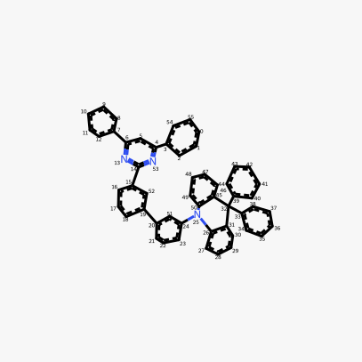 c1ccc(-c2cc(-c3ccccc3)nc(-c3cccc(-c4cccc(N5c6ccccc6C(c6ccccc6)(c6ccccc6)c6ccccc65)c4)c3)n2)cc1